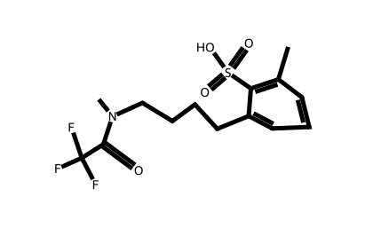 Cc1cccc(CCCCN(C)C(=O)C(F)(F)F)c1S(=O)(=O)O